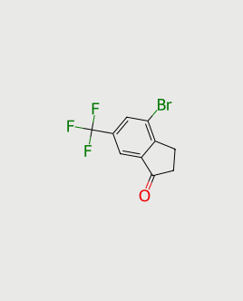 O=C1CCc2c(Br)cc(C(F)(F)F)cc21